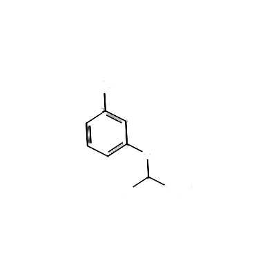 CCOC(=O)C(F)Oc1cccc(C(F)(F)F)c1